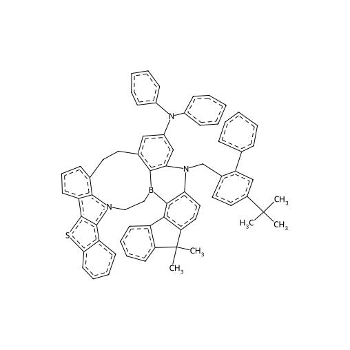 CC(C)(C)c1ccc(CN2c3cc(N(c4ccccc4)c4ccccc4)cc4c3B(CCn3c5c(cccc5c5sc6ccccc6c53)CC4)c3c2ccc2c3-c3ccccc3C2(C)C)c(-c2ccccc2)c1